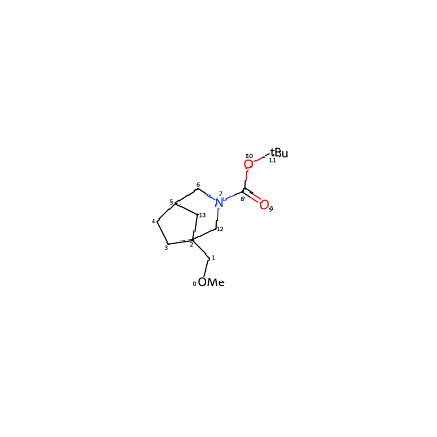 COCC12CCC(CN(C(=O)OC(C)(C)C)C1)C2